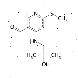 CSc1cc(NCC(C)(C)O)c(C=O)cn1